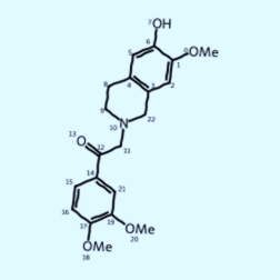 COc1cc2c(cc1O)CCN(CC(=O)c1ccc(OC)c(OC)c1)C2